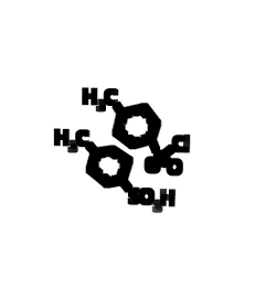 Cc1ccc(S(=O)(=O)Cl)cc1.Cc1ccc(S(=O)(=O)O)cc1